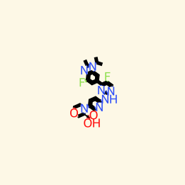 Cc1nc2c(F)cc(-c3nc(Nc4ccc(N5CCOC[C@@H]5C(=O)O)cn4)ncc3F)cc2n1C(C)C